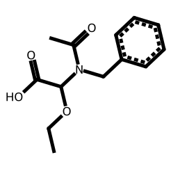 CCOC(C(=O)O)N(Cc1ccccc1)C(C)=O